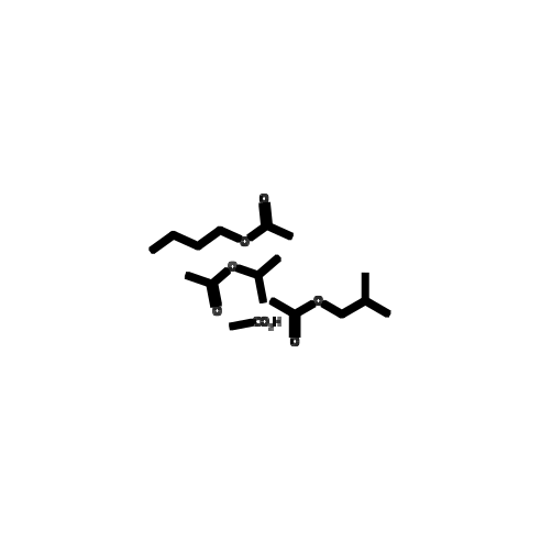 CC(=O)O.CC(=O)OC(C)C.CC(=O)OCC(C)C.CCCCOC(C)=O